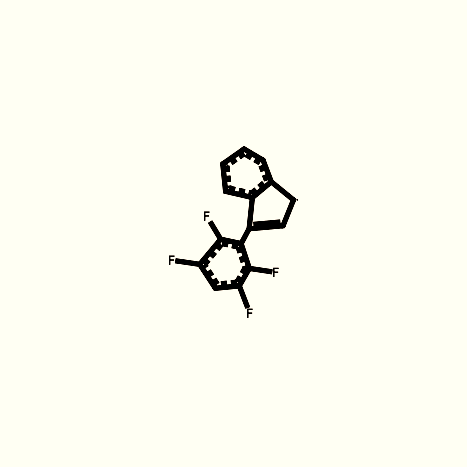 Fc1cc(F)c(F)c(C2=C[CH]c3ccccc32)c1F